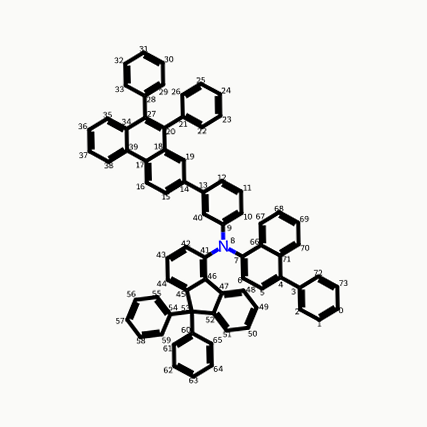 c1ccc(-c2ccc(N(c3cccc(-c4ccc5c(c4)c(-c4ccccc4)c(-c4ccccc4)c4ccccc45)c3)c3cccc4c3-c3ccccc3C4(c3ccccc3)c3ccccc3)c3ccccc23)cc1